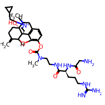 C=C1CC[C@@]2(O)[C@H]3Cc4ccc(OC(=O)N(C)CCNC(=O)[C@H](CCCNC(=N)N)NC(=O)CN)c5c4[C@@]2(CC[N+]3(C)CC2CC2)[C@H]1O5